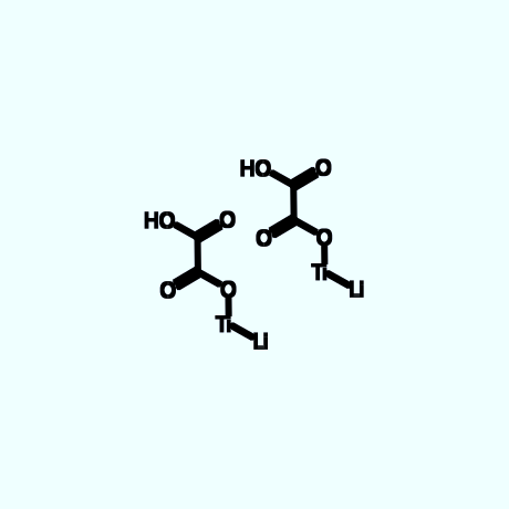 [Li][Ti][O]C(=O)C(=O)O.[Li][Ti][O]C(=O)C(=O)O